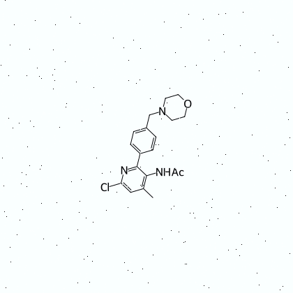 CC(=O)Nc1c(C)cc(Cl)nc1-c1ccc(CN2CCOCC2)cc1